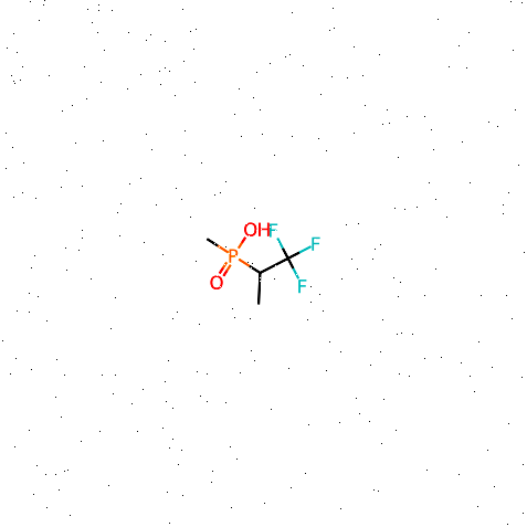 CC(C(F)(F)F)P(C)(=O)O